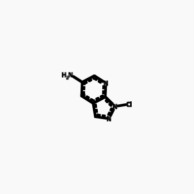 Nc1cnc2c(cnn2Cl)c1